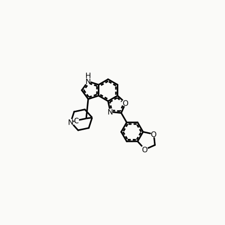 c1cc2c(cc1-c1nc3c(ccc4[nH]cc(C5CN6CCC5CC6)c43)o1)OCO2